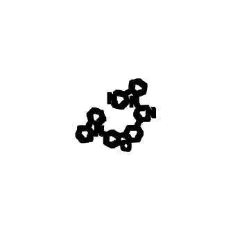 c1ccc2c(c1)c1ccccc1n2-c1ccc2oc3ccc(-c4cncc(-n5c6ccccc6c6cnccc65)c4)cc3c2c1